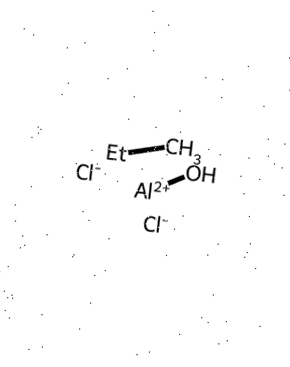 CCC.[Cl-].[Cl-].[OH][Al+2]